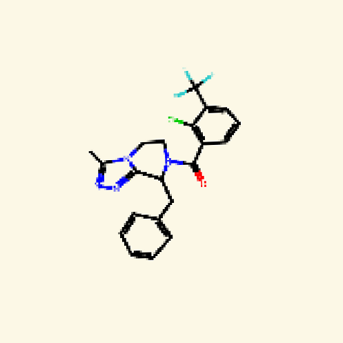 Cc1nnc2n1CCN(C(=O)c1cccc(C(F)(F)F)c1Cl)C2Cc1ccccc1